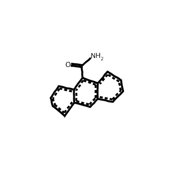 NC(=O)c1c2ccc[c]c2cc2ccccc12